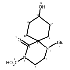 CC(C)(C)N1CCN(C(=O)O)C(=O)C12CCC(O)CC2